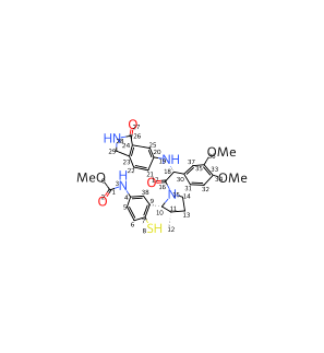 COC(=O)Nc1ccc(S)c([C@H]2[C@@H](C)CCN2C(=O)[C@H](Nc2ccc3c(c2)C(=O)NC3)c2ccc(OC)c(OC)c2)c1